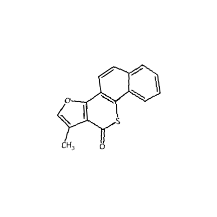 Cc1coc2c1c(=O)sc1c3ccccc3ccc21